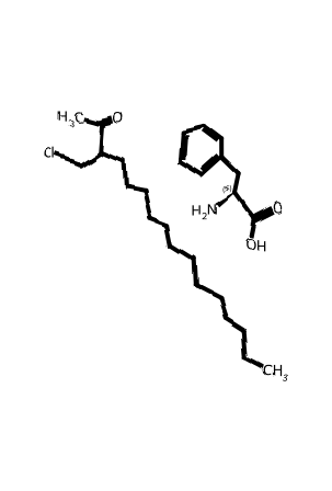 CCCCCCCCCCCCCC(CCl)C(C)=O.N[C@@H](Cc1ccccc1)C(=O)O